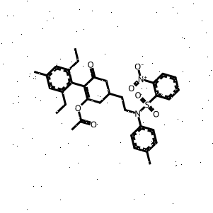 CCc1cc(C)cc(CC)c1C1=C(OC(C)=O)CC(CCN(c2ccc(C)cc2)S(=O)(=O)c2ccccc2[N+](=O)[O-])CC1=O